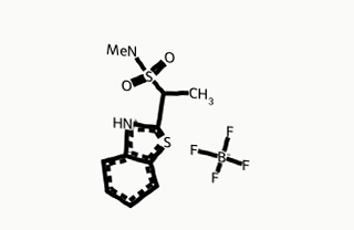 CNS(=O)(=O)C(C)c1[nH+]c2ccccc2s1.F[B-](F)(F)F